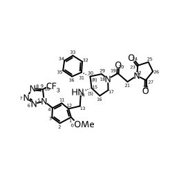 COc1ccc(-n2nnnc2C(F)(F)F)cc1CN[C@H]1CCN(C(=O)CN2C(=O)CCC2=O)C[C@H]1c1ccccc1